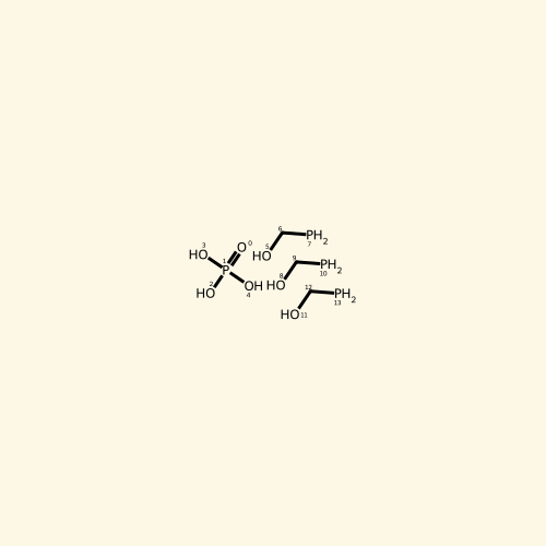 O=P(O)(O)O.OCP.OCP.OCP